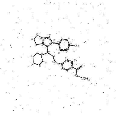 COC(=O)c1ccc(OCC(c2c3c(nn2-c2ccc(Cl)cc2)CCC3)C2CCCCC2)nc1